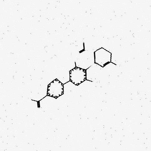 C=C(C)[C@@H]1CCC(C)=C[C@H]1c1c(O)cc(-c2ccc(C(=O)O)cc2)cc1O